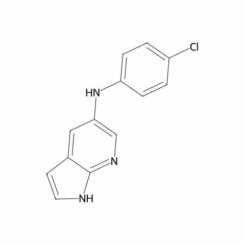 Clc1ccc(Nc2cnc3[nH]ccc3c2)cc1